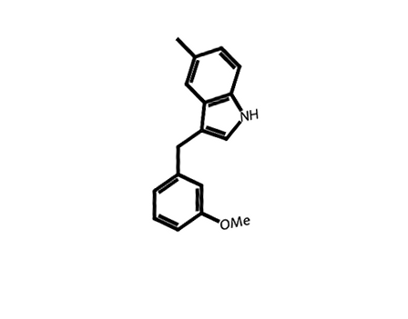 COc1cccc(Cc2c[nH]c3ccc(C)cc23)c1